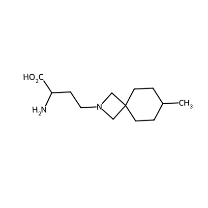 CC1CCC2(CC1)CN(CCC(N)C(=O)O)C2